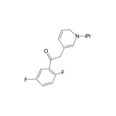 CC(C)N1C=C(CC(=O)c2cc(F)ccc2F)C=CC1